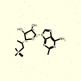 C=P(C)(C)CC(C)[C@H]1O[C@@H](n2cnc3c(N)nc(C)nc32)[C@H](O)[C@@H]1O